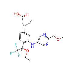 CCO[C@H](c1ccc(C(CC)CC(=O)O)cc1Nc1cnc(COC)nc1)C(F)(F)F